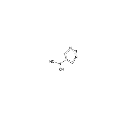 N#CN(C#N)c1[c]nnnc1